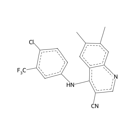 Cc1cc2ncc(C#N)c(Nc3ccc(Cl)c(C(F)(F)F)c3)c2cc1C